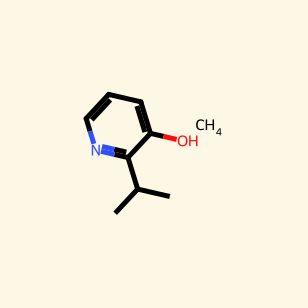 C.CC(C)c1ncccc1O